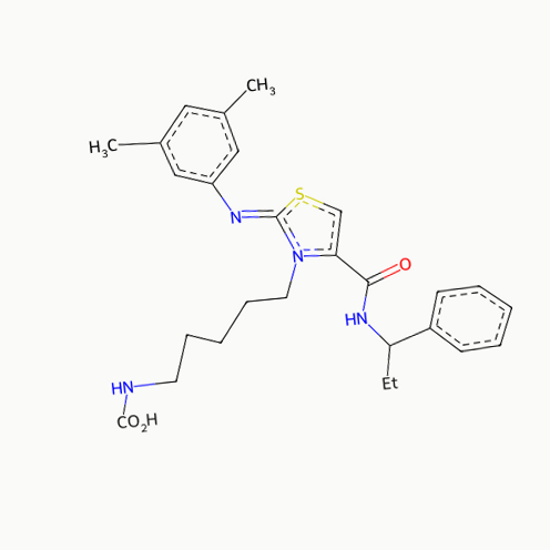 CCC(NC(=O)c1cs/c(=N\c2cc(C)cc(C)c2)n1CCCCCNC(=O)O)c1ccccc1